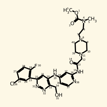 COC(=O)N(C)CCN1CCN(CC(=O)Nc2cc(Nc3cc(-c4cc(Cl)ccc4F)nnc3CO)ccn2)CC1